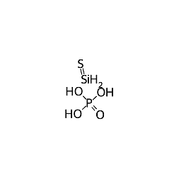 O=P(O)(O)O.[SiH2]=S